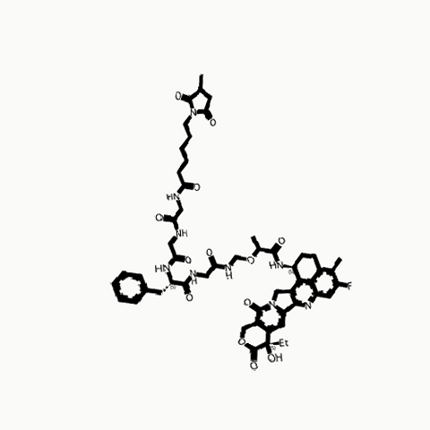 CC[C@@]1(O)C(=O)OCc2c1cc1n(c2=O)Cc2c-1nc1cc(F)c(C)c3c1c2[C@@H](NC(=O)C(C)OCNC(=O)CNC(=O)[C@H](Cc1ccccc1)NC(=O)CNC(=O)CNC(=O)CCCCCN1C(=O)CC(C)C1=O)CC3